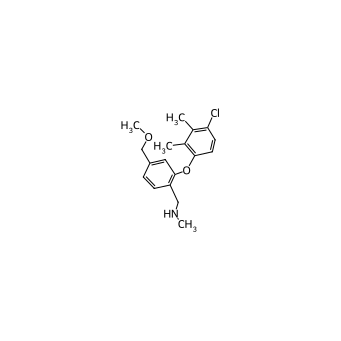 CNCc1ccc(COC)cc1Oc1ccc(Cl)c(C)c1C